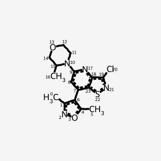 Cc1noc(C)c1-c1cc(N2CCOCC2C)nc2c(Cl)nsc12